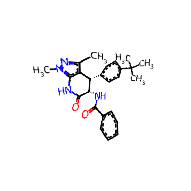 Cc1nn(C)c2c1[C@H](c1ccc(C(C)(C)C)cc1)[C@H](NC(=O)c1ccccc1)C(=O)N2